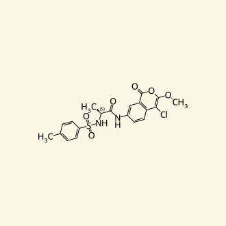 COc1oc(=O)c2cc(NC(=O)[C@H](C)NS(=O)(=O)c3ccc(C)cc3)ccc2c1Cl